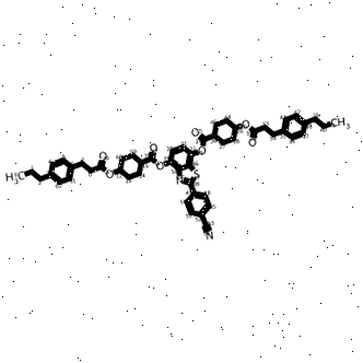 CCCc1ccc(CCC(=O)OC2CCC(C(=O)Oc3ccc(OC(=O)C4CCC(OC(=O)CCc5ccc(CCC)cc5)CC4)c4sc(-c5ccc(C#N)cc5)nc34)CC2)cc1